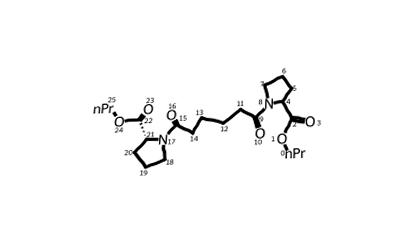 CCCOC(=O)C1CCCN1C(=O)CCCCC(=O)N1CCC[C@@H]1C(=O)OCCC